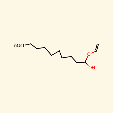 C=COC(O)CCCCCCCCCCCCCCCC